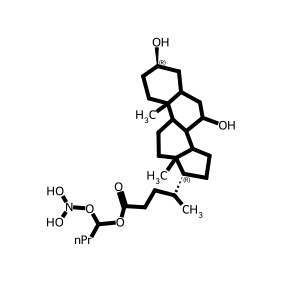 CCCC(OC(=O)CCC(C)[C@H]1CCC2C3C(O)CC4C[C@H](O)CCC4(C)C3CCC21C)ON(O)O